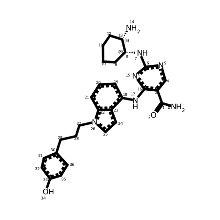 NC(=O)c1cnc(N[C@@H]2CCCC[C@@H]2N)nc1Nc1cccc2c1ccn2CCCc1ccc(O)cc1